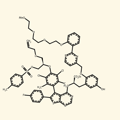 C=CCOC[C@H](COS(=O)(=O)c1ccc(C)cc1)Oc1c(Cl)c(C)c(-c2c(-c3ccc(F)cc3)sc3ncnc(O[C@H](Cc4cc(O)ccc4OCc4ccnc(-c5ccccc5OCCOCCOCCOC)n4)C(=O)OCC)c23)c(C)c1Cl